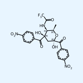 C[C@H]1O[C@@](O)(C(=O)c2ccc([N+](=O)[O-])cc2)C[C@](O)(C(=O)c2ccc([N+](=O)[O-])cc2)[C@H]1NC(=O)C(F)(F)F